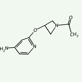 CC(=O)N1CC(Oc2cc(N)ccn2)C1